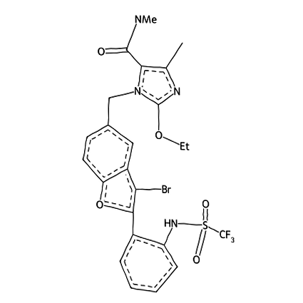 CCOc1nc(C)c(C(=O)NC)n1Cc1ccc2oc(-c3ccccc3NS(=O)(=O)C(F)(F)F)c(Br)c2c1